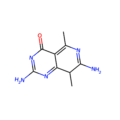 CC1=C2C(=O)N=C(N)N=C2C(C)C(N)=N1